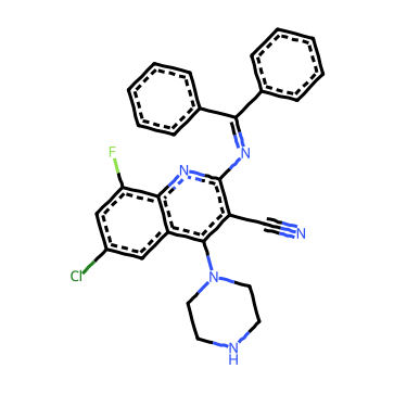 N#Cc1c(N=C(c2ccccc2)c2ccccc2)nc2c(F)cc(Cl)cc2c1N1CCNCC1